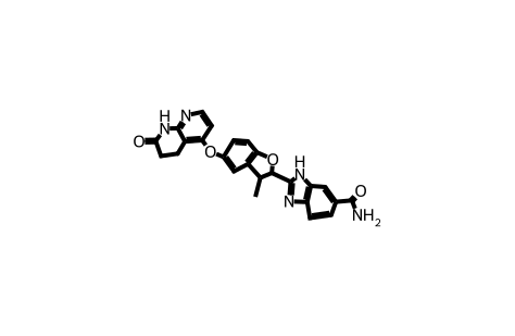 CC1c2cc(Oc3ccnc4c3CCC(=O)N4)ccc2OC1c1nc2ccc(C(N)=O)cc2[nH]1